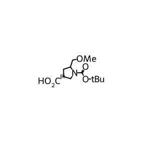 COCC1C[C@@H](C(=O)O)CN1C(=O)OC(C)(C)C